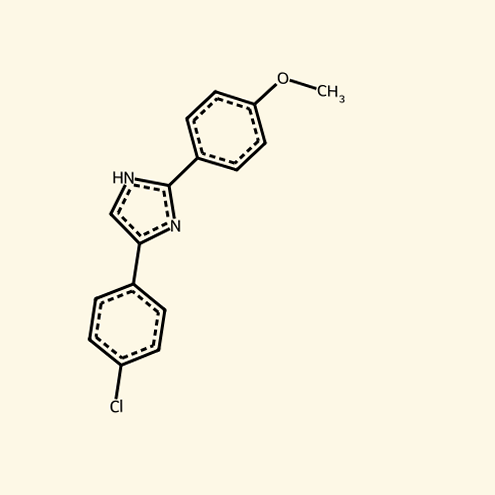 COc1ccc(-c2nc(-c3ccc(Cl)cc3)c[nH]2)cc1